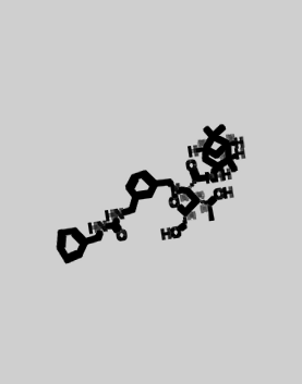 C[C@@H]1[C@@H](NC(=O)[C@@H]2[C@H]([C@H](C)O)[C@H](CO)ON2Cc2cccc(CNC(=O)NCc3ccccc3)c2)C[C@H]2C[C@@H]1C2(C)C